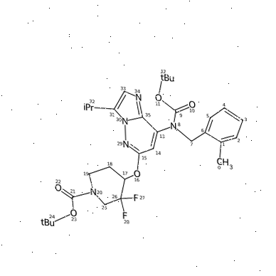 Cc1ccccc1CN(C(=O)OC(C)(C)C)c1cc(OC2CCN(C(=O)OC(C)(C)C)CC2(F)F)nn2c(C(C)C)cnc12